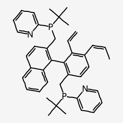 C=Cc1c(/C=C\C)ccc(CP(c2ccccn2)C(C)(C)C)c1-c1c(CP(c2ccccn2)C(C)(C)C)ccc2ccccc12